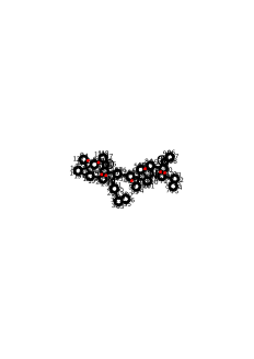 c1ccc(C2(c3ccccc3)c3ccccc3-c3ccc(-c4ccc(N(c5ccc(-c6cccc7ccccc67)cc5)c5cc(-c6ccc(C7(c8ccccc8)c8ccccc8-c8c(N(c9ccc(-c%10cccc%11ccccc%10%11)cc9)c9ccccc9-c9cccc%10c9oc9ccccc9%10)cccc87)cc6)ccc5-c5cccc6c5oc5ccccc56)cc4)cc32)cc1